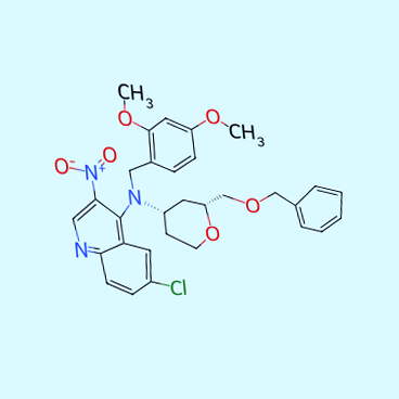 COc1ccc(CN(c2c([N+](=O)[O-])cnc3ccc(Cl)cc23)[C@H]2CCO[C@@H](COCc3ccccc3)C2)c(OC)c1